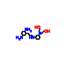 Nc1ccc(N)c(/C=C/CNc2cccc(N(CCO)CCO)c2)c1